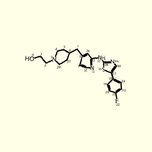 OCCN1CCC(Cc2ccnc(Nc3ncc(-c4ccc(F)cc4)s3)c2)CC1